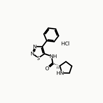 Cl.O=C(Nc1snnc1-c1ccccc1)[C@@H]1CCCN1